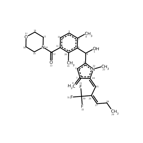 C=c1cc(C(O)c2c(C)ccc(C(=O)N3CCOCC3)c2C)n(C)/c1=C/C(=C\CC)C(F)(F)F